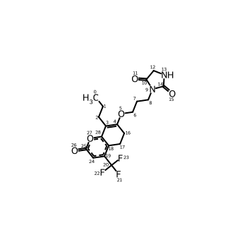 CCCC1=C(OCCCN2C(=O)CNC2=O)CCc2c(C(F)(F)F)cc(=O)oc21